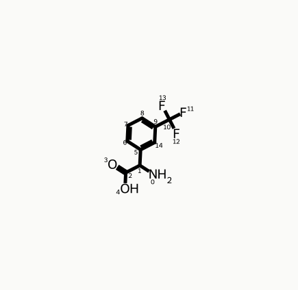 NC(C(=O)O)c1cccc(C(F)(F)F)c1